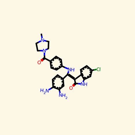 CN1CCN(C(=O)c2ccc(NC(=C3C(=O)Nc4cc(Cl)ccc43)c3ccc(N)c(N)c3)cc2)CC1